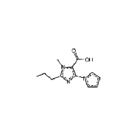 CCCc1nc(-n2cccc2)c(C(=O)O)n1C